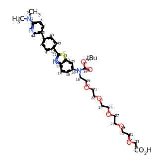 CN(C)c1ccc(-c2ccc(-c3nc4ccc(N(CCOCCOCCOCCOCCOCC(=O)O)C(=O)OC(C)(C)C)cc4s3)cc2)cn1